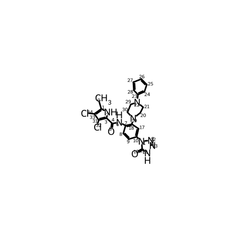 Cc1[nH]c(C(=O)Nc2ccc(-n3nn[nH]c3=O)cc2N2CCN(c3ccccc3)CC2)c(Cl)c1Cl